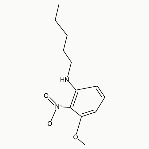 CCCCCNc1cccc(OC)c1[N+](=O)[O-]